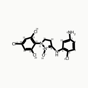 Nc1ccc(Cl)c(NC2=[N+]([O-])N(c3c(Cl)cc(Cl)cc3Cl)CC2)c1